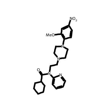 COc1cc([N+](=O)[O-])ccc1N1CCN(CCN(C(=O)C2CCCCC2)c2ccccn2)CC1